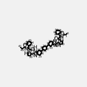 CCC(=O)N[C@@H](C(=O)N1CCC[C@H]1c1nc2ccc(-c3ccc(-c4ccc5nc([C@@H]6CCCN6C(=O)[C@H](NC(=O)CC)c6ccccc6)[nH]c5c4)cc3)cc2[nH]1)c1ccccc1